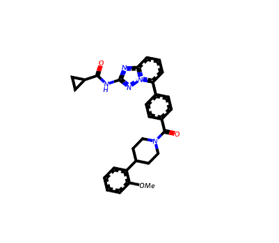 COc1ccccc1C1CCN(C(=O)c2ccc(-c3cccc4nc(NC(=O)C5CC5)nn34)cc2)CC1